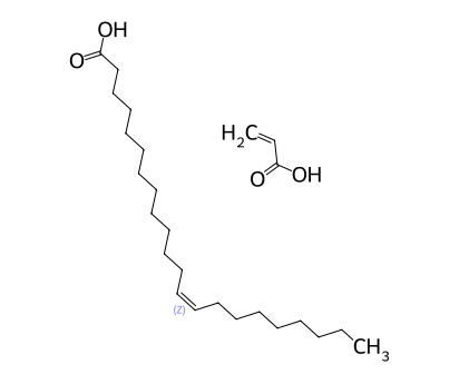 C=CC(=O)O.CCCCCCCC/C=C\CCCCCCCCCCCC(=O)O